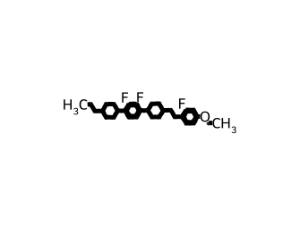 CCCC1CCC(c2ccc(C3CCC(CCc4ccc(OCC)cc4F)CC3)c(F)c2F)CC1